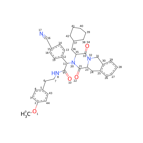 COc1ccc(CCNC(=O)C(c2ccc(C#N)cc2)N2C(=O)C3Cc4ccccc4CN3C(=O)C2CC2CCCCC2)cc1